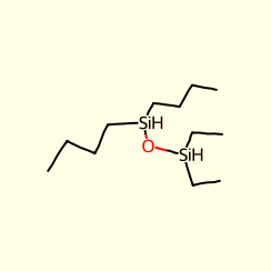 CCCC[SiH](CCCC)O[SiH](CC)CC